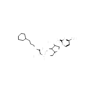 C[C@H](NP1(=O)OC[C@H]2O[C@@H](n3ccc(N)nc3=O)[C@](C)(O)[C@@H]2O1)C(=O)OCCCC1CCCCC1